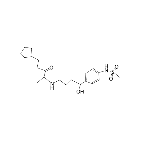 CC(NCCCC(O)c1ccc(NS(C)(=O)=O)cc1)C(=O)CCC1CCCC1